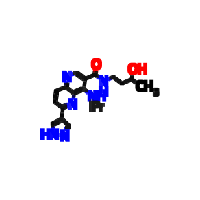 CC(O)CCNC(=O)c1cnc2ccc(-c3cn[nH]c3)nc2c1NC(C)C